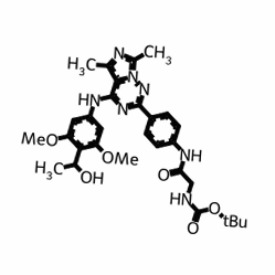 COc1cc(Nc2nc(-c3ccc(NC(=O)CNC(=O)OC(C)(C)C)cc3)nn3c(C)nc(C)c23)cc(OC)c1C(C)O